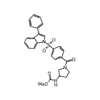 COC(=O)NC1CCN(C(=O)c2ccc(S(=O)(=O)n3cc(-c4ccccc4)c4ccccc43)cc2)C1